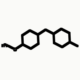 CCCOC1CCC(CC2CCC(C)CC2)CC1